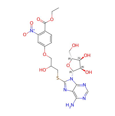 CCOC(=O)c1ccc(OCC(O)CSc2nc3c(N)ncnc3n2[C@@H]2O[C@H](CO)[C@@H](O)[C@H]2O)cc1[N+](=O)[O-]